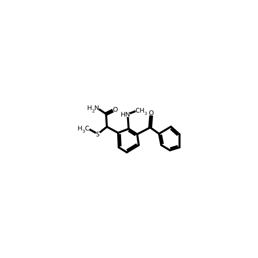 CNc1c(C(=O)c2ccccc2)cccc1C(SC)C(N)=O